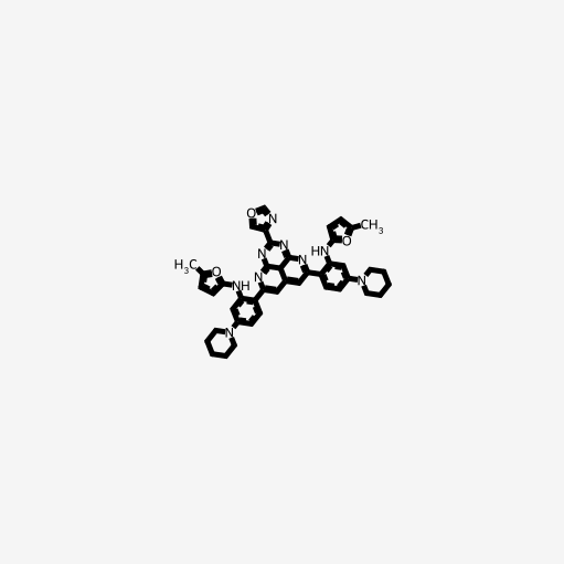 Cc1ccc(Nc2cc(N3CCCCC3)ccc2C2=CC3=CC(c4ccc(N5CCCCC5)cc4Nc4ccc(C)o4)=NC4=NC(c5cocn5)=NC(=N2)C34)o1